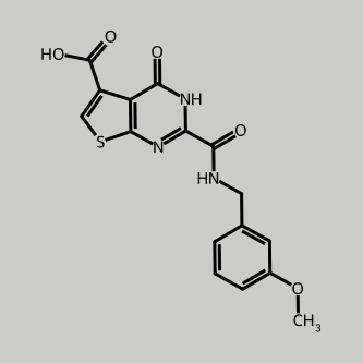 COc1cccc(CNC(=O)c2nc3scc(C(=O)O)c3c(=O)[nH]2)c1